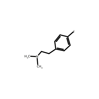 CN(C)CCc1ccc(I)cc1